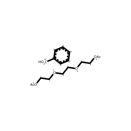 CC(=O)OCCOCCOCCOC(C)=O.O=C(O)c1ccccc1